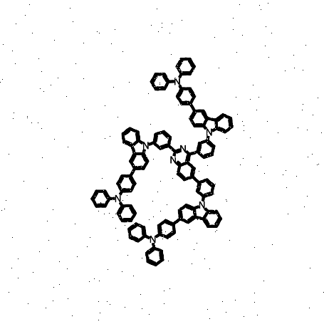 c1ccc(N(c2ccccc2)c2ccc(-c3ccc4c(c3)c3ccccc3n4-c3cccc(-c4ccc5nc(-c6cccc(-n7c8ccccc8c8cc(-c9ccc(N(c%10ccccc%10)c%10ccccc%10)cc9)ccc87)c6)nc(-c6cccc(-n7c8ccccc8c8cc(-c9ccc(N(c%10ccccc%10)c%10ccccc%10)cc9)ccc87)c6)c5c4)c3)cc2)cc1